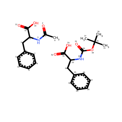 CC(=O)NC(Cc1ccccc1)C(=O)O.CC(C)(C)OC(=O)NC(Cc1ccccc1)C(=O)O